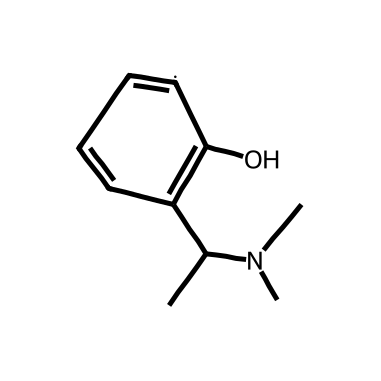 CC(c1ccc[c]c1O)N(C)C